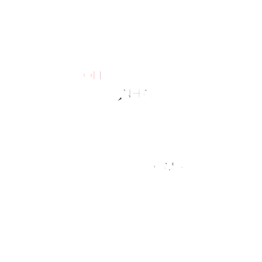 COc1cccc([C@@H](CO)NC(C)=O)c1